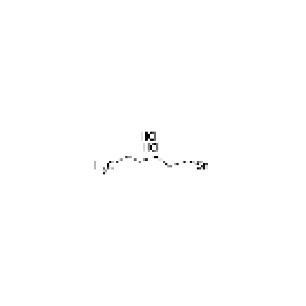 CCCCC[CH2][Sn].Cl.Cl